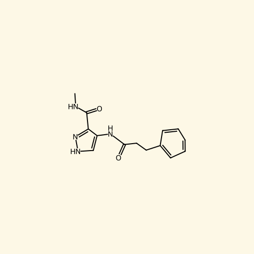 CNC(=O)c1n[nH]cc1NC(=O)CCc1ccccc1